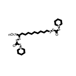 CCCCCCCCC(CCCCCCCCCSSC(=O)SN1CCCCC1)SSC(=O)SN1CCCCC1